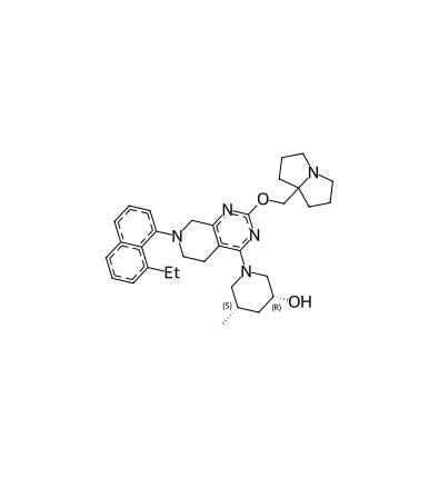 CCc1cccc2cccc(N3CCc4c(nc(OCC56CCCN5CCC6)nc4N4C[C@@H](C)C[C@@H](O)C4)C3)c12